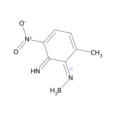 B/N=C1\C(=N)C([N+](=O)[O-])=CC=C1C